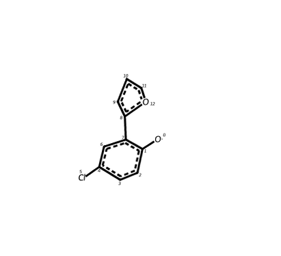 [O]c1ccc(Cl)cc1-c1ccco1